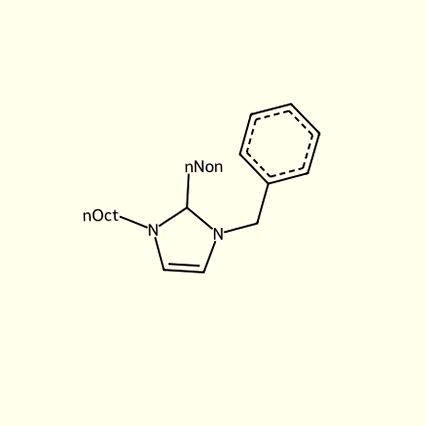 CCCCCCCCCC1N(CCCCCCCC)C=CN1Cc1ccccc1